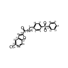 O=C(NCc1ccc(S(=O)(=O)c2ccccc2)cc1)c1cc2cc(Cl)ncc2o1